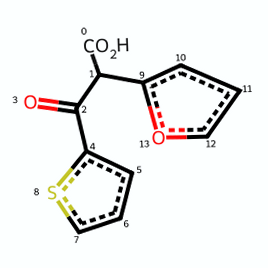 O=C(O)C(C(=O)c1cccs1)c1ccco1